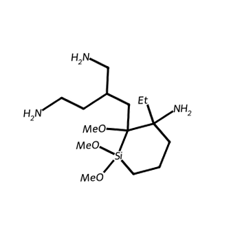 CCC1(N)CCC[Si](OC)(OC)C1(CC(CN)CCN)OC